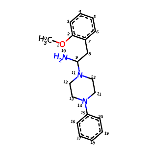 COc1ccccc1CC(N)N1CCN(c2ccccc2)CC1